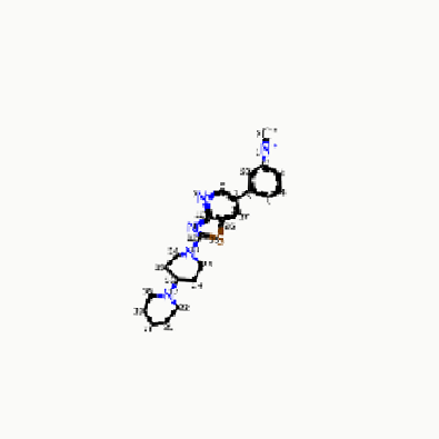 [C-]#[N+]c1cccc(-c2cnc3nc(N4CCC(N5CCCCC5)CC4)sc3c2)c1